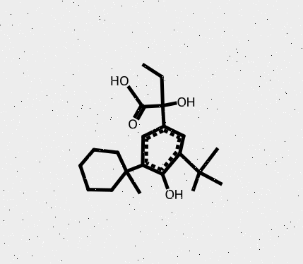 CCC(O)(C(=O)O)c1cc(C(C)(C)C)c(O)c(C2(C)CCCCC2)c1